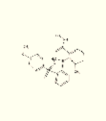 COc1ccc(S(=O)(=O)c2ncccc2N(C)c2c(C)cccc2C(=O)NO)cc1